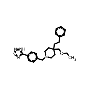 CCOCC1(CCc2ccccc2)CCN(Cc2ccc(-c3nnn[nH]3)cc2)CC1